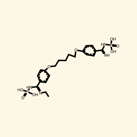 CC/N=C(/NP(=O)(O)O)c1ccc(OCCCCCOc2ccc(C(=N)NP(=O)(O)O)cc2)cc1